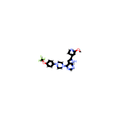 COc1cc(-c2cc3c(N4CCN(c5ccc(OC(F)(F)F)cc5)CC4)ncnc3[nH]2)ccn1